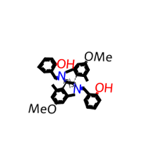 COc1cc(C)c([C@@H](N=Cc2ccccc2O)[C@@H](N=Cc2ccccc2O)c2c(C)cc(OC)cc2C)c(C)c1